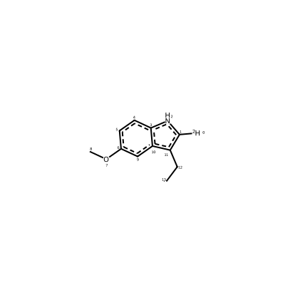 [2H]c1[nH]c2ccc(OC)cc2c1C[CH2]